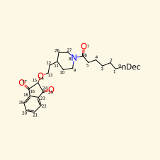 CCCCCCCCCCCCCCCC(=O)N1CCC(CCOC2C(=O)c3ccccc3C2=O)CC1